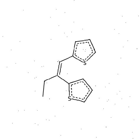 CC/C(=[C]/c1cccs1)c1cccs1